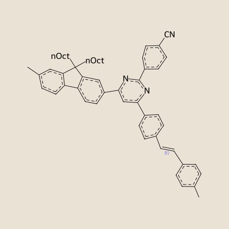 CCCCCCCCC1(CCCCCCCC)c2cc(C)ccc2-c2ccc(-c3cc(-c4ccc(/C=C/c5ccc(C)cc5)cc4)nc(-c4ccc(C#N)cc4)n3)cc21